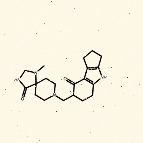 CN1CNC(=O)C12CCN(CC1CCc3[nH]c4c(c3C1=O)CCC4)CC2